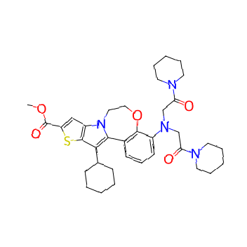 COC(=O)c1cc2c(s1)c(C1CCCCC1)c1n2CCOc2c-1cccc2N(CC(=O)N1CCCCC1)CC(=O)N1CCCCC1